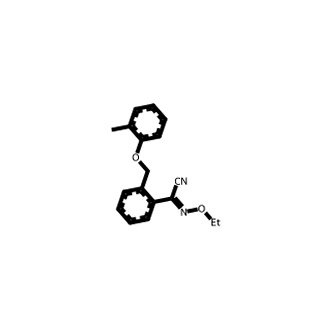 CCO/N=C(\C#N)c1ccccc1COc1ccccc1C